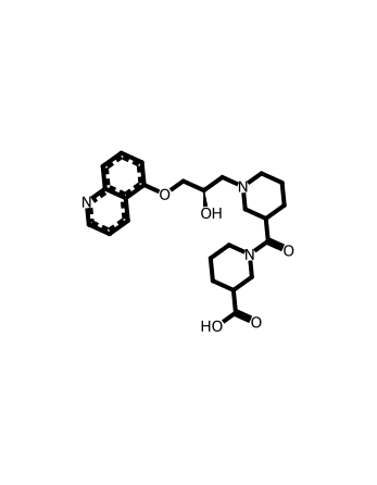 O=C(O)C1CCCN(C(=O)C2CCCN(C[C@@H](O)COc3cccc4ncccc34)C2)C1